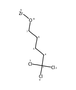 ClC(Cl)(Cl)CCCC[O][Zr]